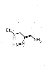 CCNC/C(=C/N)N=N